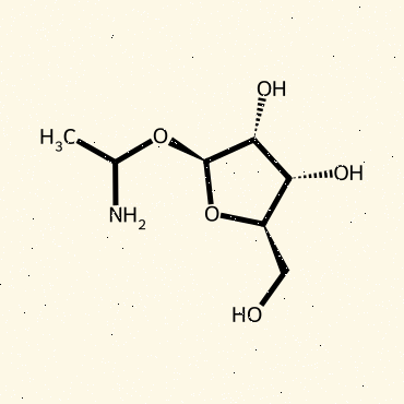 CC(N)O[C@@H]1O[C@H](CO)[C@@H](O)[C@H]1O